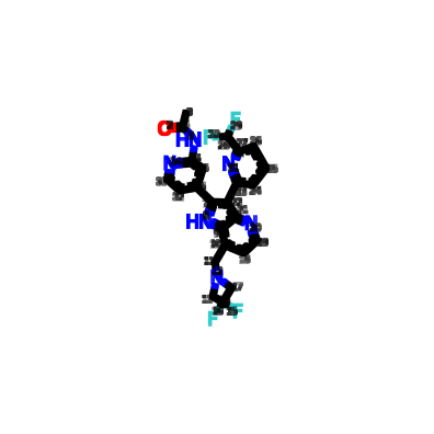 CC(=O)Nc1cc(-c2[nH]c3c(CN4CC(F)(F)C4)ccnc3c2-c2cccc(C(F)F)n2)ccn1